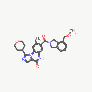 COCc1cccc2c1CN(C(=O)c1cc3[nH]c(=O)c4cnc(C5CCOCC5)n4c3cc1C)C2